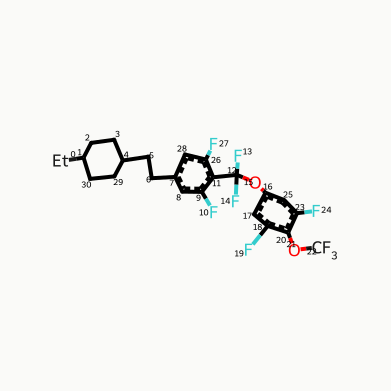 CCC1CCC(CCc2cc(F)c(C(F)(F)Oc3cc(F)c(OC(F)(F)F)c(F)c3)c(F)c2)CC1